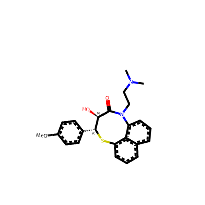 COc1ccc([C@H]2Sc3cccc4cccc(c34)N(CCN(C)C)C(=O)[C@@H]2O)cc1